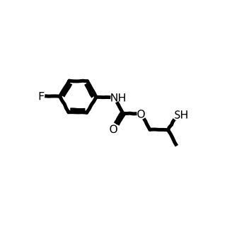 CC(S)COC(=O)Nc1ccc(F)cc1